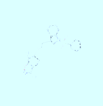 CCCc1c(OCCc2cn(S(=O)(=O)c3ccccc3)c3ccccc23)ccc2c(C(F)(F)F)noc12